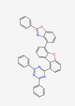 c1ccc(-c2nc(-c3ccccc3)nc(-c3cccc4oc5c(-c6cccc7oc(-c8ccccc8)nc67)cccc5c34)n2)cc1